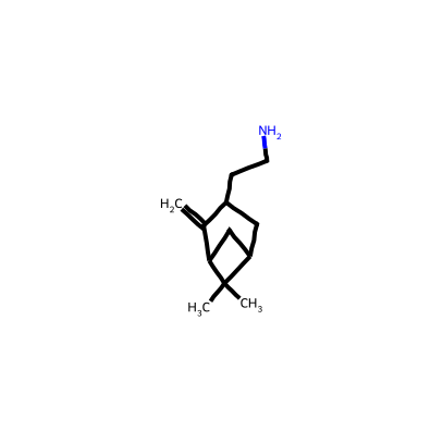 C=C1C(CCN)CC2CC1C2(C)C